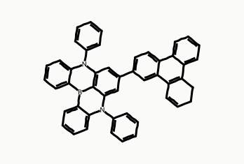 C1=Cc2c(c3ccccc3c3ccc(-c4cc5c6c(c4)N(c4ccccc4)c4ccccc4B6c4ccccc4N5c4ccccc4)cc23)CC1